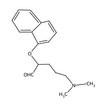 CN(C)CCCC(C=O)Oc1cccc2ccccc12